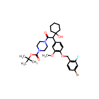 COc1cc(C(C(=O)N2CCN(C(=O)OC(C)(C)C)CC2)C2(O)CCCCC2)ccc1OCc1ccc(Br)cc1F